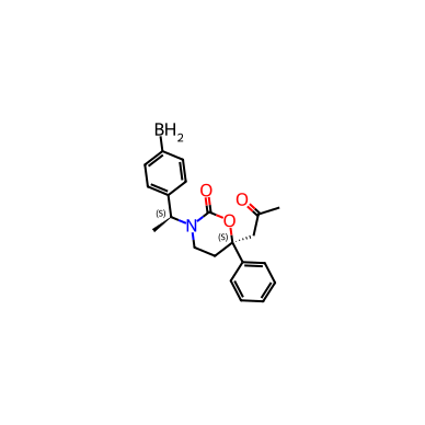 Bc1ccc([C@H](C)N2CC[C@](CC(C)=O)(c3ccccc3)OC2=O)cc1